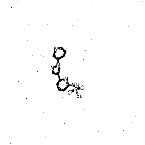 CCS(=O)(=O)Nc1cccc(-c2cnn(-c3cccnc3)c2)n1